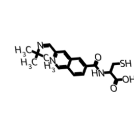 CC(C)(C)/N=C\c1cc2cc(C(=O)NC(CS)C(=O)O)ccc2cn1